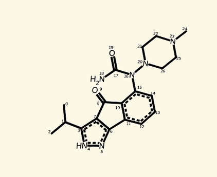 CC(C)c1[nH]nc2c1C(=O)c1c-2cccc1N(C(N)=O)N1CCN(C)CC1